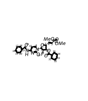 COP(=O)(/C=C/[C@H]1O[C@@H](n2ccc(NC(=O)c3ccccc3)nc2=O)[C@H](F)[C@@H]1OC(=O)c1ccccc1)OC